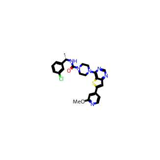 COc1cc(-c2cc3ncnc(N4CCN(C(=O)N[C@@H](C)c5cccc(Cl)c5)CC4)c3s2)ccn1